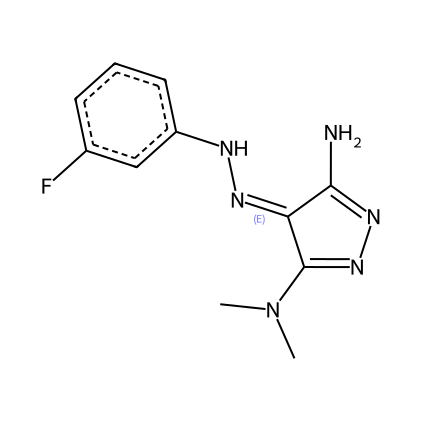 CN(C)C1=NN=C(N)/C1=N\Nc1cccc(F)c1